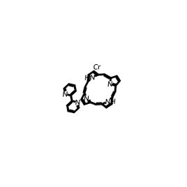 C1=Cc2cc3ccc(cc4nc(cc5ccc(cc1n2)[nH]5)C=C4)[nH]3.[Cr].c1ccc(-c2ccccn2)nc1